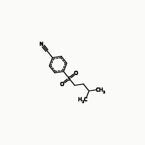 CC(C)CCS(=O)(=O)c1ccc(C#N)cc1